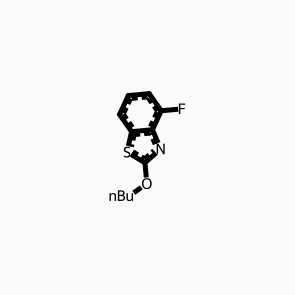 CCCCOc1nc2c(F)cccc2s1